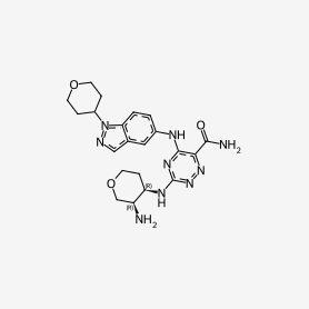 NC(=O)c1nnc(N[C@@H]2CCOC[C@@H]2N)nc1Nc1ccc2c(cnn2C2CCOCC2)c1